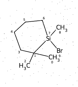 CC1(C)CCCC[Si]1(C)Br